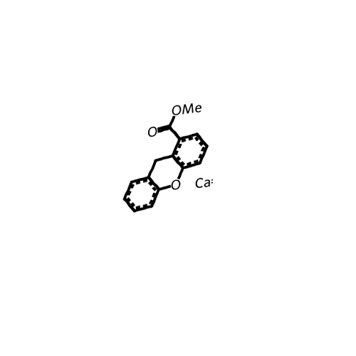 COC(=O)c1cccc2c1Cc1ccccc1O2.[Ca]